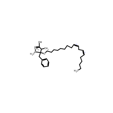 CCCCC/C=C\C/C=C\CCCCCCCCOC(Cc1ccccc1)(C(C)C(=O)O)N(C)C